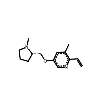 C=Cc1ncc(OC[C@@H]2CCCN2C)cc1C